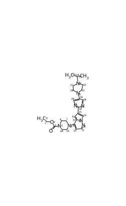 CCOC(=O)N1CCN(c2ccnn3cc(-c4ncc(N5CCN(C(C)C)CC5)cn4)cc23)CC1